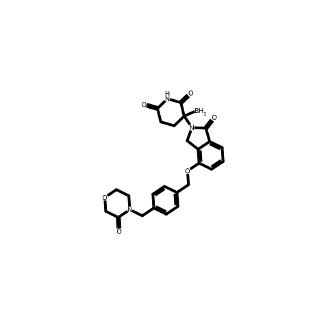 BC1(N2Cc3c(OCc4ccc(CN5CCOCC5=O)cc4)cccc3C2=O)CCC(=O)NC1=O